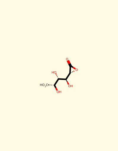 O=C(O)[C@@H](O)[C@H](O)[C@H](O)[C@H]1OC1=O